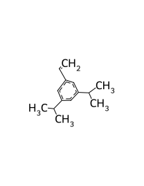 C=Cc1cc(C(C)C)cc(C(C)C)c1